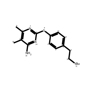 Cc1nc(Sc2ccc(CCC(C)(C)C)cc2)nc(N)c1C